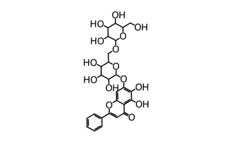 O=c1cc(-c2ccccc2)oc2cc(OC3OC(COC4OC(CO)C(O)C(O)C4O)C(O)C(O)C3O)c(O)c(O)c12